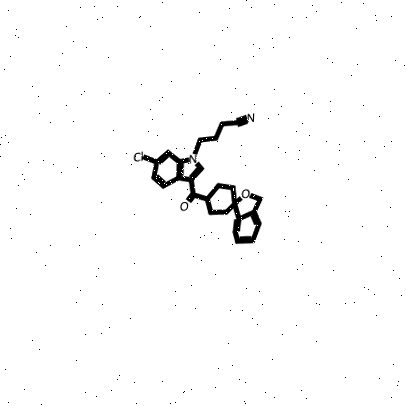 N#CCCCn1cc(C(=O)C2CCC3(CC2)OCc2ccccc23)c2ccc(Cl)cc21